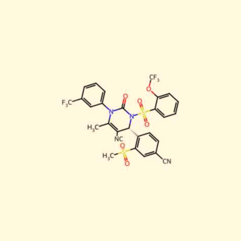 [C-]#[N+]C1=C(C)N(c2cccc(C(F)(F)F)c2)C(=O)N(S(=O)(=O)c2ccccc2OC(F)(F)F)[C@@H]1c1ccc(C#N)cc1S(C)(=O)=O